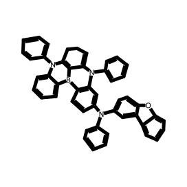 C1=C2C3=C(CC1)N(c1ccccc1)c1ccccc1B3c1ccc(N(c3ccccc3)c3ccc4oc5ccccc5c4c3)cc1N2c1ccccc1